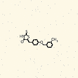 Cc1cccc(COc2ccc(/C=C3\SC(=S)NC3=O)cc2)c1